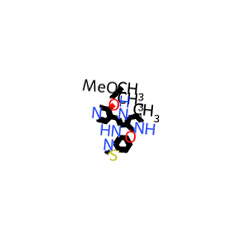 COC(C)(C)COc1cnccc1-c1[nH]c2c(c1Nc1cccc3scnc13)C(=O)NC[C@H]2C